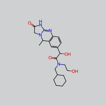 CC1c2cc(C(O)C(=O)N(CCO)CC3CCCCC3)ccc2N=C2NC(=O)CN21